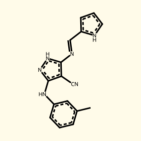 Cc1cccc(Nc2n[nH]c(/N=C/c3ccc[nH]3)c2C#N)c1